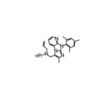 C=CCN(CCC)Cc1c(C)nc2n(-c3c(C)cc(C)cc3C)c3ncccc3n12